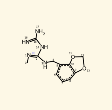 C/N=C(\NCc1cccc2c1OCO2)NC(=N)N